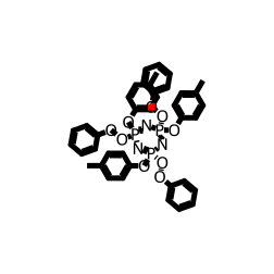 Cc1ccc(OP2(OOc3ccccc3)=NP(OOc3ccccc3)(Oc3ccc(C)cc3)=NP(OOc3ccccc3)(Oc3ccc(C)cc3)=N2)cc1